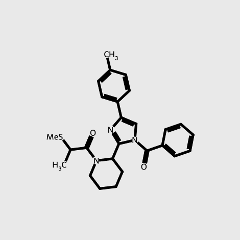 CSC(C)C(=O)N1CCCCC1c1nc(-c2ccc(C)cc2)cn1C(=O)c1ccccc1